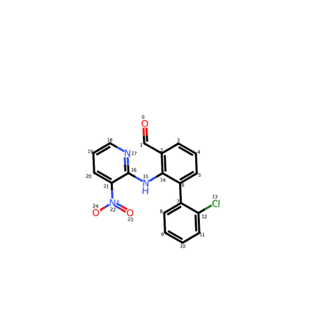 O=Cc1cccc(-c2ccccc2Cl)c1Nc1ncccc1[N+](=O)[O-]